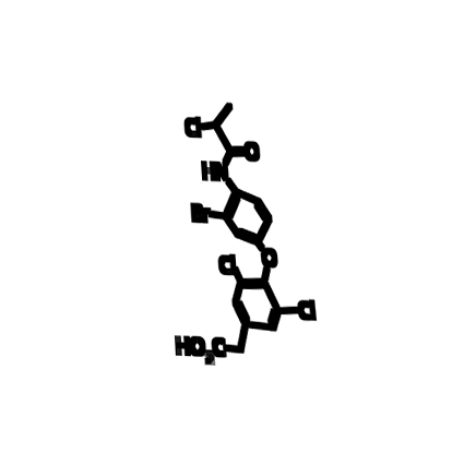 CC(Cl)C(=O)Nc1ccc(Oc2c(Cl)cc(CC(=O)O)cc2Cl)cc1Br